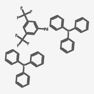 FC(F)(F)c1c[c]([Pd])cc(C(F)(F)F)c1.c1ccc(P(c2ccccc2)c2ccccc2)cc1.c1ccc(P(c2ccccc2)c2ccccc2)cc1